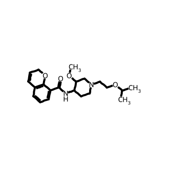 COC1CN(CCOC(C)C)CCC1NC(=O)c1cccc2c1OCC=C2